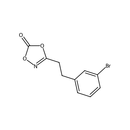 O=c1onc(CCc2cccc(Br)c2)o1